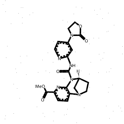 COC(=O)c1ccc2c(n1)N(C(=O)Nc1cc(N3CCOC3=O)ccn1)[C@H]1CCN2C1